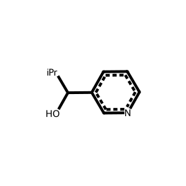 CC(C)C(O)c1cccnc1